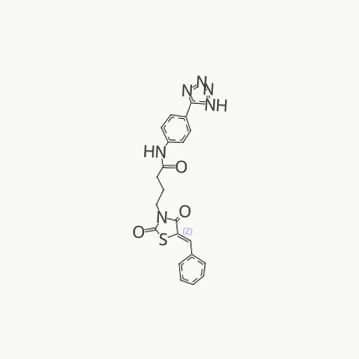 O=C(CCCN1C(=O)S/C(=C\c2ccccc2)C1=O)Nc1ccc(-c2nnn[nH]2)cc1